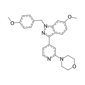 COc1ccc(Cn2nc(-c3ccnc(N4CCOCC4)c3)c3ccc(OC)cc32)cc1